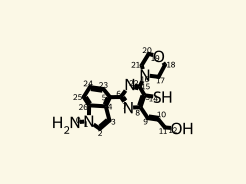 Nn1ccc2c(-c3nc(/C=C/CO)c(S)c(N4CCOCC4)n3)cccc21